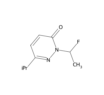 CC(C)c1ccc(=O)n(C(C)F)n1